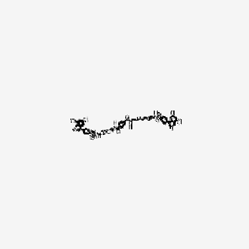 CN1Cc2c(Cl)cc(Cl)cc2C(c2ccc(S(=O)(=O)NCCOCCOCCNC(=O)c3ccc(C(=O)NCCOCCOCCNS(=O)(=O)c4ccc(C5CN(C)Cc6c(Cl)cc(Cl)cc65)cc4)cc3)cc2)C1